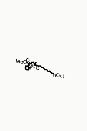 CCCCCCCCC=CCCCCCCCC(=O)SC1CCN(C(C(=O)OC)c2ccccc2F)CC1